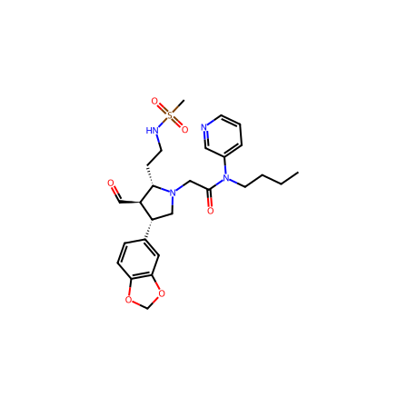 CCCCN(C(=O)CN1C[C@H](c2ccc3c(c2)OCO3)[C@@H](C=O)[C@@H]1CCNS(C)(=O)=O)c1cccnc1